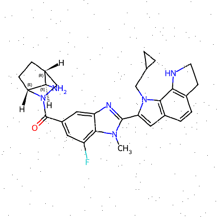 Cn1c(-c2cc3ccc4c(c3n2CC2CC2)NCC4)nc2cc(C(=O)N3C[C@H]4CC[C@@H]3[C@@H]4N)cc(F)c21